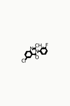 Cc1nc2ccc(Cl)cc2c(=O)n1-c1cccc(F)c1